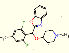 Cc1cc(F)c(C(OC2CCN(C)CC2)c2nc3ccccc3o2)c(F)c1